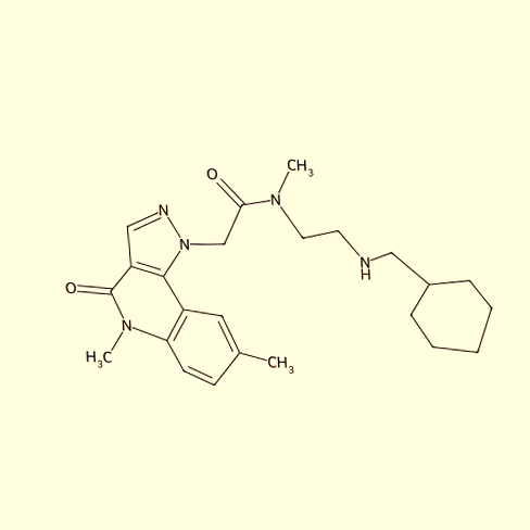 Cc1ccc2c(c1)c1c(cnn1CC(=O)N(C)CCNCC1CCCCC1)c(=O)n2C